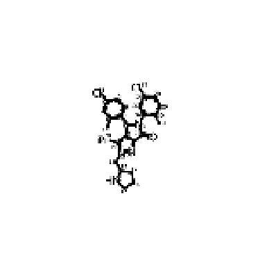 Cc1cc(Cl)ccc1C1c2c(nn(CC3CCCN3)c2C(C)C)C(=O)N1c1cc(Cl)ccc1C